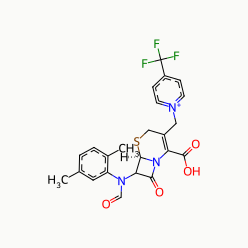 Cc1ccc(C)c(N(C=O)C2C(=O)N3C(C(=O)O)=C(C[n+]4ccc(C(F)(F)F)cc4)CS[C@H]23)c1